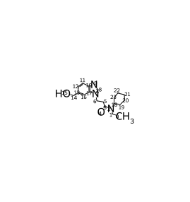 CCN(C(=O)CCn1cnc2ccc(CO)cc21)C1CCCCC1